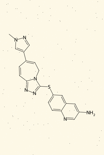 Cn1cc(C2=CCn3c(nnc3Sc3ccc4ncc(N)cc4c3)C=C2)cn1